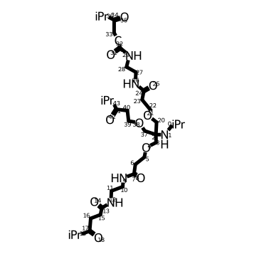 CC(C)NC(COCCC(=O)NCCNC(=O)CCC(=O)C(C)C)(COCCC(=O)NCCNC(=O)CCC(=O)C(C)C)COCCC(=O)C(C)C